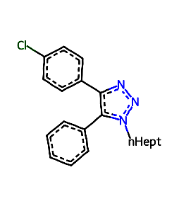 CCCCCCCn1nnc(-c2ccc(Cl)cc2)c1-c1ccccc1